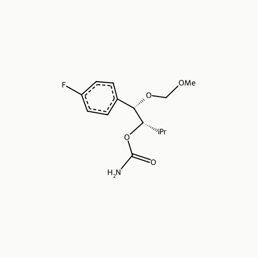 COCO[C@@H](c1ccc(F)cc1)[C@@H](OC(N)=O)C(C)C